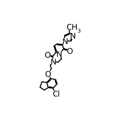 Cc1cn(-c2ccc3n(c2=O)CCN(CCOc2ccc(Cl)c4c2CCC4)C3=O)cn1